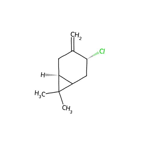 C=C1C[C@H]2C(C[C@H]1Cl)C2(C)C